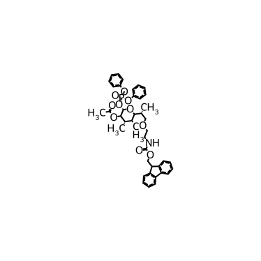 CC(=O)OC1[C@H](OP(=O)(Oc2ccccc2)Oc2ccccc2)OC([C@H](C)COCCNC(=O)OCC2c3ccccc3-c3ccccc32)[C@@H](C)[C@@H]1C